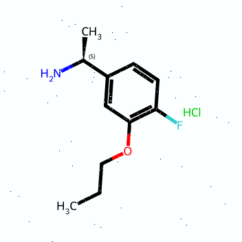 CCCOc1cc([C@H](C)N)ccc1F.Cl